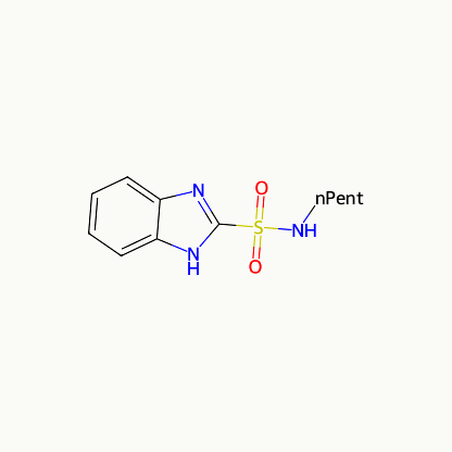 CCCCCNS(=O)(=O)c1nc2ccccc2[nH]1